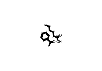 CC(=O)c1ccccc1.CCCCCC(=O)O